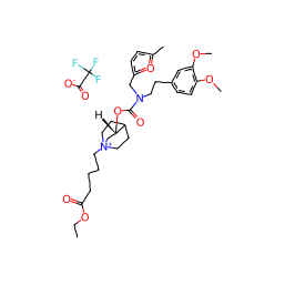 CCOC(=O)CCCC[N+]12CCC(CC1)[C@@H](OC(=O)N(CCc1ccc(OC)c(OC)c1)Cc1ccc(C)o1)C2.O=C([O-])C(F)(F)F